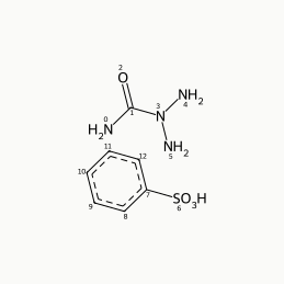 NC(=O)N(N)N.O=S(=O)(O)c1ccccc1